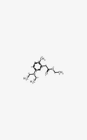 CCOC(=O)Cc1cc(N(CC)CC)ccc1C